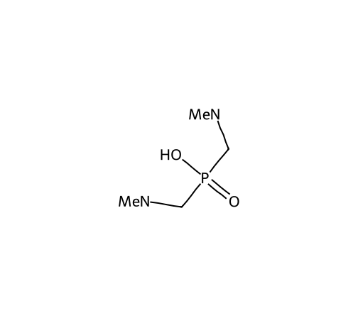 CNCP(=O)(O)CNC